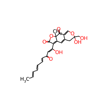 C/C=C/C=C/C=C/C(=O)/C=C(\O)C1=C2C=C3CC(O)(CO)OC=C3C(=O)C2(C)OC1=O